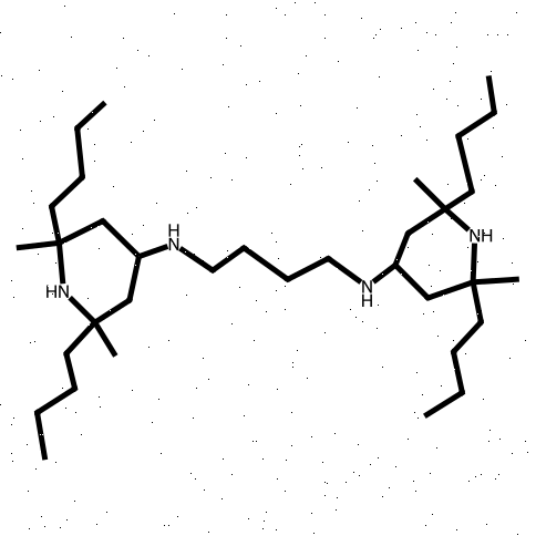 CCCCC1(C)CC(NCCCCNC2CC(C)(CCCC)NC(C)(CCCC)C2)CC(C)(CCCC)N1